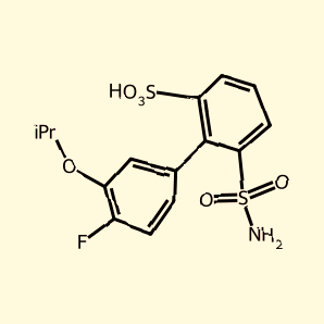 CC(C)Oc1cc(-c2c(S(N)(=O)=O)cccc2S(=O)(=O)O)ccc1F